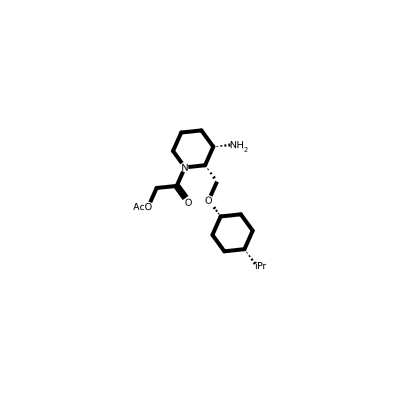 CC(=O)OCC(=O)N1CCC[C@H](N)[C@@H]1CO[C@H]1CC[C@@H](C(C)C)CC1